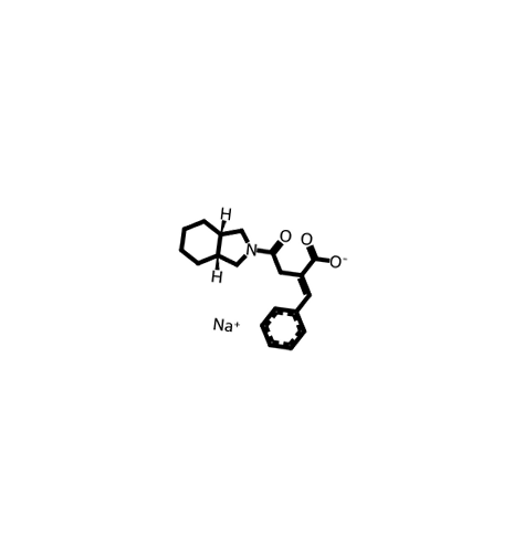 O=C([O-])/C(=C/c1ccccc1)CC(=O)N1C[C@H]2CCCC[C@H]2C1.[Na+]